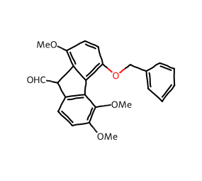 COc1ccc2c(c1OC)-c1c(OCc3ccccc3)ccc(OC)c1C2C=O